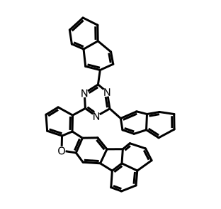 c1ccc2cc(-c3nc(-c4ccc5ccccc5c4)nc(-c4cccc5oc6cc7c(cc6c45)-c4cccc5cccc-7c45)n3)ccc2c1